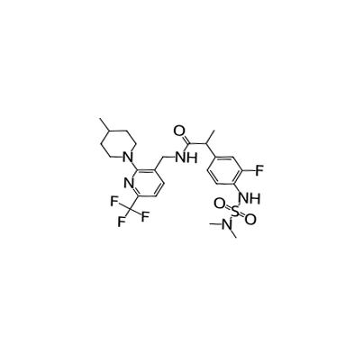 CC1CCN(c2nc(C(F)(F)F)ccc2CNC(=O)C(C)c2ccc(NS(=O)(=O)N(C)C)c(F)c2)CC1